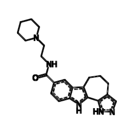 O=C(NCCN1CCCCC1)c1ccc2[nH]c3c(c2c1)CCCc1cn[nH]c1-3